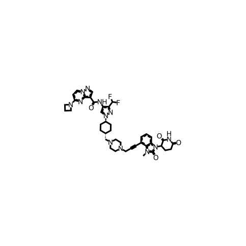 Cn1c(=O)n(C2CCC(=O)NC2=O)c2cccc(C#CCN3CCN(C[C@H]4CC[C@H](n5cc(NC(=O)c6cnn7ccc(N8CCC8)nc67)c(C(F)F)n5)CC4)CC3)c21